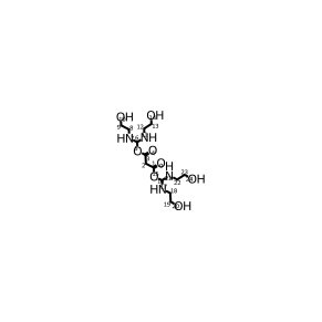 O=C(CC(=O)OC(NCCO)NCCO)OC(NCCO)NCCO